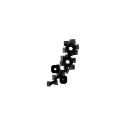 CCCC(=O)C(Cl)Cc1ccc(-c2[c]cccc2)cc1